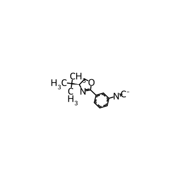 [C-]#[N+]c1cccc(C2=N[C@@H](C(C)(C)C)CO2)c1